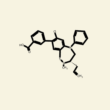 C=CC[C@H]1CN(c2ccccc2)c2cc(Cl)c(-c3cccc(C(=O)O)c3)cc2SN1C